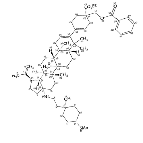 C=C(C)[C@@H]1CC[C@]2(NCC[C@]3(O)CC[C@@H](SC)CC3)CC[C@]3(C)[C@H](CC[C@@H]4[C@@]5(C)CC=C(C6=CC[C@@](COC(=O)c7ccccc7)(C(=O)OCC)CC6)C(C)(C)[C@@H]5CC[C@]43C)[C@@H]12